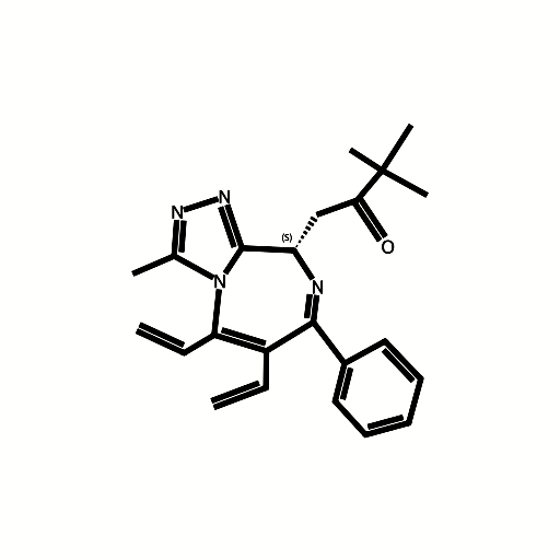 C=CC1=C(C=C)n2c(C)nnc2[C@H](CC(=O)C(C)(C)C)N=C1c1ccccc1